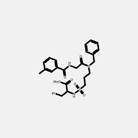 COC(=O)C(CC(C)C)NS(=O)(=O)CCCN(Cc1ccccc1)C(=O)CNC(=O)c1cccc(C)c1